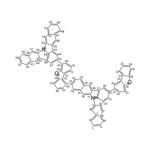 c1ccc2cc3c(cc2c1)c1cc(-c2ccc4oc5ccccc5c4c2)cc2c4cc5ccc(-c6cccc7oc8c(-c9cc%10c%11cc%12ccccc%12cc%11n%11c%12cc%13ccccc%13cc%12c(c9)c%10%11)cccc8c67)cc5cc4n3c12